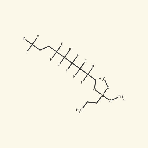 CCC[Si](OC)(OC)OCC(F)(F)C(F)(F)C(F)(F)C(F)(F)C(F)(F)CCC(F)(F)F